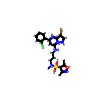 Cc1noc(C)c1S(=O)(=O)N(C)CCCNc1cc(-c2ccccc2Cl)nc2c(Br)cnn12